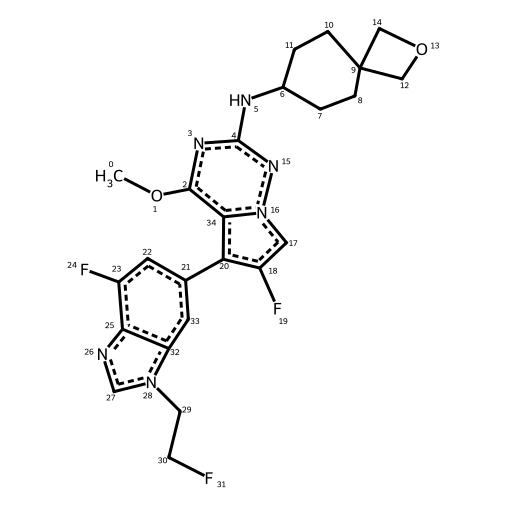 COc1nc(NC2CCC3(CC2)COC3)nn2cc(F)c(-c3cc(F)c4ncn(CCF)c4c3)c12